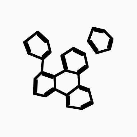 c1ccc(-c2cccc3c4ccccc4c4ccccc4c23)cc1.c1ccccc1